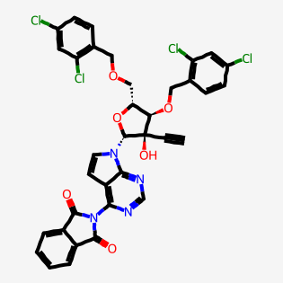 C#C[C@@]1(O)[C@H](OCc2ccc(Cl)cc2Cl)[C@@H](COCc2ccc(Cl)cc2Cl)O[C@H]1n1ccc2c(N3C(=O)c4ccccc4C3=O)ncnc21